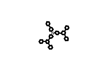 c1ccc(-c2ccc(N(c3ccc(-c4cc(-c5ccccc5)cc(-c5ccccc5)c4)cc3)c3ccc(-c4cc(-c5ccccc5)cc(-c5ccccc5)c4)cc3)cc2)cc1